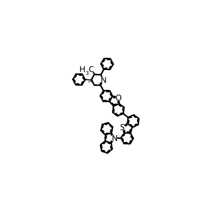 CC1C(c2ccccc2)N=C(c2ccc3c(c2)oc2cc(-c4cccc5c4sc4c(-n6c7ccccc7c7ccccc76)cccc45)ccc23)C[C@H]1c1ccccc1